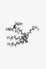 CCCCCOP(=O)(OCCCCC)OP(=O)(OCCCCC)OCCCCC.OCC#CCO